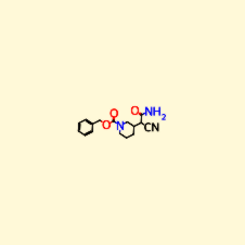 N#CC(C(N)=O)C1CCCN(C(=O)OCc2ccccc2)C1